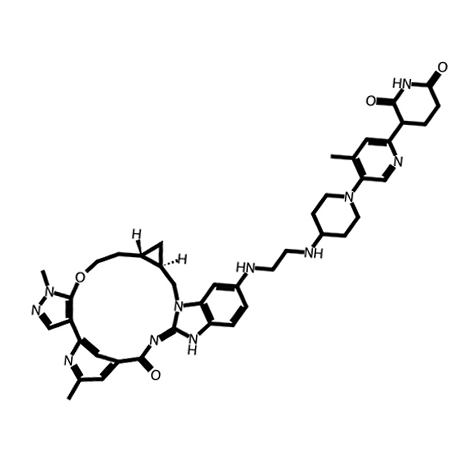 Cc1cc2cc(n1)-c1cnn(C)c1OCC[C@@H]1C[C@H]1CN1/C(=N/C2=O)Nc2ccc(NCCNC3CCN(c4cnc(C5CCC(=O)NC5=O)cc4C)CC3)cc21